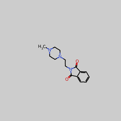 CN1CCN(CCN2C(=O)c3ccccc3C2=O)CC1